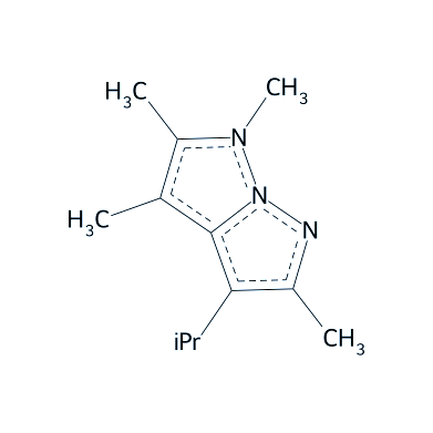 Cc1nn2c(c(C)c(C)n2C)c1C(C)C